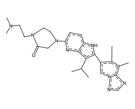 Cc1c(-c2[nH]c3ccc(N4CCN(CCN(C)C)C(=O)C4)nc3c2C(C)C)cn2ncnc2c1C